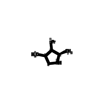 CCCC1C(C)CN[C@@H]1C